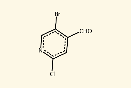 O=Cc1cc(Cl)ncc1Br